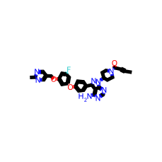 CC#CC(=O)N1CCC(n2nc(-c3ccc(Oc4cc(F)cc(OCc5cnc(C)nc5)c4)cc3)c3c(N)ncnc32)CC1